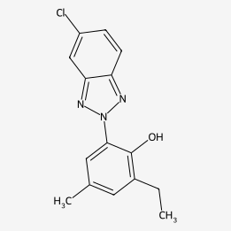 CCc1cc(C)cc(-n2nc3ccc(Cl)cc3n2)c1O